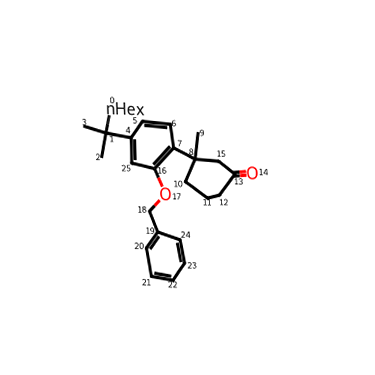 CCCCCCC(C)(C)c1ccc(C2(C)CCCC(=O)C2)c(OCc2ccccc2)c1